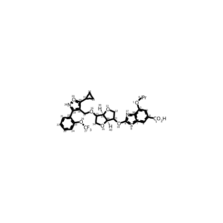 CC(C)Oc1cc(C(=O)O)cc2sc(OC3CO[C@@H]4C(OCc5c(-c6ccccc6OC(F)(F)F)noc5C5CC5)CO[C@H]34)nc12